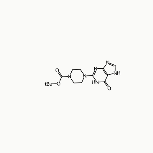 CC(C)(C)OC(=O)N1CCN(c2nc3nc[nH]c3c(=O)[nH]2)CC1